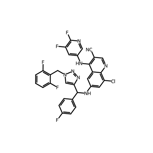 N#Cc1cnc2c(Cl)cc(NC(c3ccc(F)cc3)c3cn(Cc4c(F)cccc4F)nn3)cc2c1Nc1cnc(F)c(F)c1